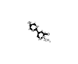 Cn1ncc(-c2ncc(Br)cn2)cc1=O